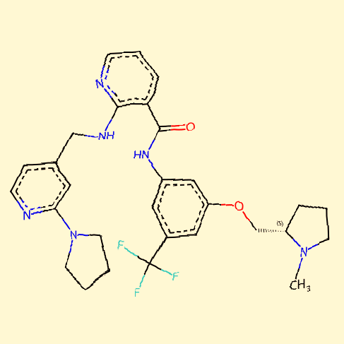 CN1CCC[C@H]1COc1cc(NC(=O)c2cccnc2NCc2ccnc(N3CCCC3)c2)cc(C(F)(F)F)c1